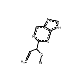 C=CC(OCC)c1ncc2nc[nH]c2n1